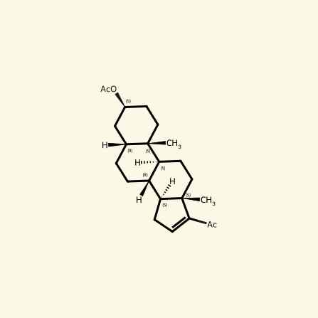 CC(=O)O[C@H]1CC[C@@]2(C)[C@H](CC[C@@H]3[C@@H]2CC[C@]2(C)C(C(C)=O)=CC[C@@H]32)C1